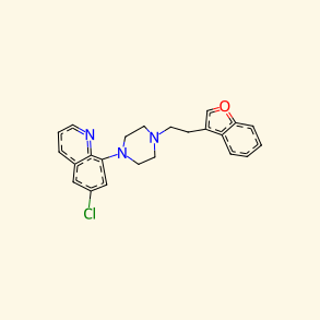 Clc1cc(N2CCN(CCc3coc4ccccc34)CC2)c2ncccc2c1